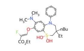 CCCCC1(CC)CN(c2ccccc2)c2cc(N(C)C)c(O/C=C(\F)C(=O)OCC)cc2S(O)(O)C1